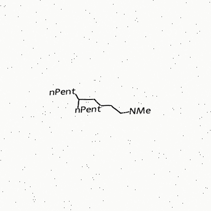 CCCCCC(CCCCC)CCCCNC